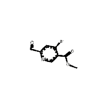 COC(=O)c1cnc(C=O)cc1Br